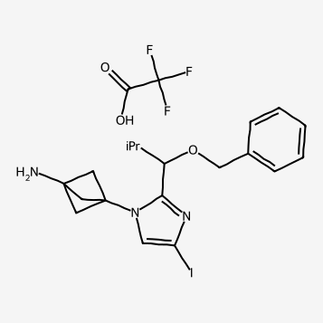 CC(C)C(OCc1ccccc1)c1nc(I)cn1C12CC(N)(C1)C2.O=C(O)C(F)(F)F